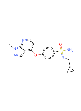 CCn1ncc2c(Oc3ccc(S(N)(=O)=NCC4CC4)cc3)ccnc21